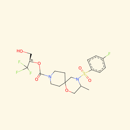 CC1COC2(CCN(C(=O)O[C@H](CO)C(F)(F)F)CC2)CN1S(=O)(=O)c1ccc(F)cc1